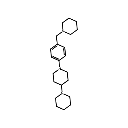 c1cc(N2CCC(N3CCCCC3)CC2)ccc1CN1CCCCC1